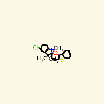 CN1c2ccc(Cl)cc2C(C)(C)C12C=Cc1sc3ccccc3c1O2